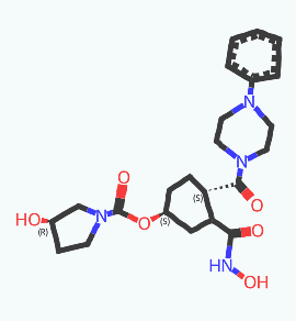 O=C(NO)C1C[C@@H](OC(=O)N2CC[C@@H](O)C2)CC[C@@H]1C(=O)N1CCN(c2ccccc2)CC1